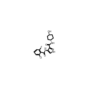 O=C(N[C@H]1CC[C@H](O)CC1)c1n[nH]cc1NC(=O)c1c(F)cccc1Cl